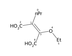 CCCC(C(=O)O)=C(OCC)C(=O)O